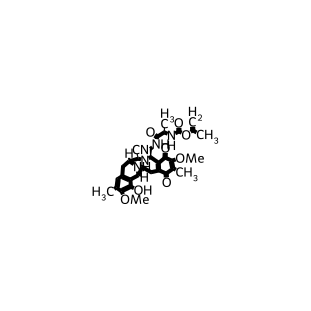 C=C(C)OC(=O)N[C@@H](C)C(=O)NC[C@H]1C2=C(CC3[C@@H]4N[C@H](Cc5cc(C)c(OC)c(O)c54)[C@H](C#N)N31)C(=O)C(C)=C(OC)C2=O